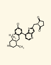 Cc1cc(Cl)cc(-c2ccnc3cc(CN4C(=O)CCC4=O)sc23)c1CN1[C@H](C)CNC[C@@H]1C